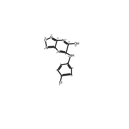 CCc1ccc(Nc2nc3nonc3nc2O)cc1